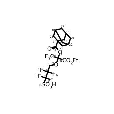 CCOC(=O)C(OCC(F)(F)C(F)(F)S(=O)(=O)O)(OC(=O)C12CC3CC(CC(C3)C1)C2)C(F)(F)F